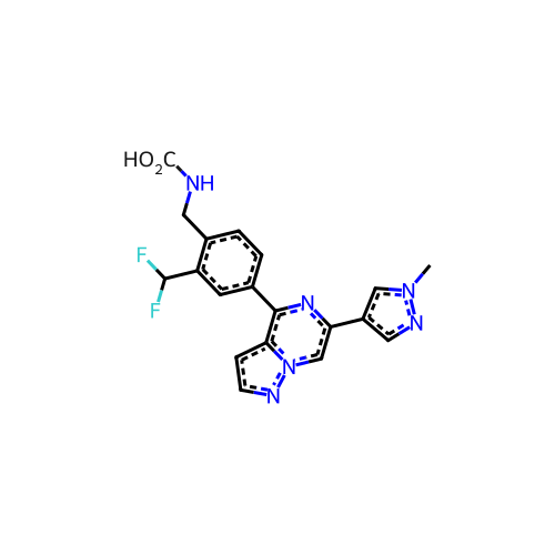 Cn1cc(-c2cn3nccc3c(-c3ccc(CNC(=O)O)c(C(F)F)c3)n2)cn1